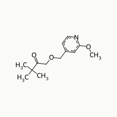 COc1cc(COCC(=O)C(C)(C)C)ccn1